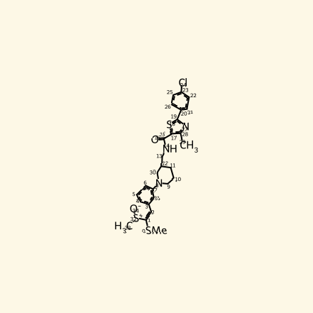 CSC(=Cc1cccc(N2CCCC(CNC(=O)c3sc(-c4ccc(Cl)cc4)nc3C)C2)c1)[S+](C)[O-]